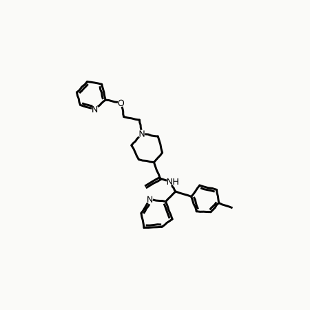 C=C(NC(c1ccc(C)cc1)c1ccccn1)C1CCN(CCOc2ccccn2)CC1